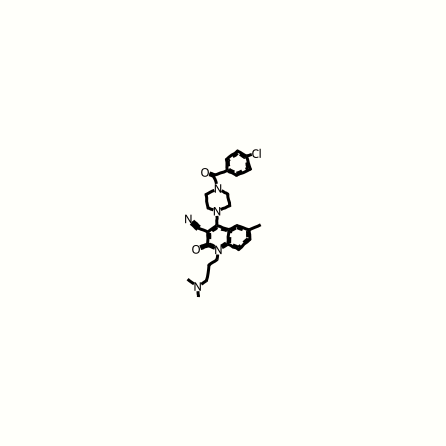 Cc1ccc2c(c1)c(N1CCN(C(=O)c3ccc(Cl)cc3)CC1)c(C#N)c(=O)n2CCCN(C)C